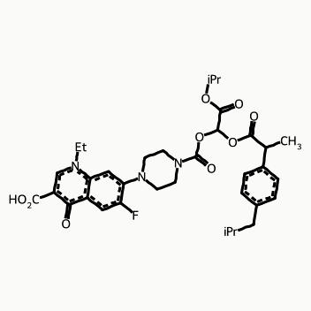 CCn1cc(C(=O)O)c(=O)c2cc(F)c(N3CCN(C(=O)OC(OC(=O)C(C)c4ccc(CC(C)C)cc4)C(=O)OC(C)C)CC3)cc21